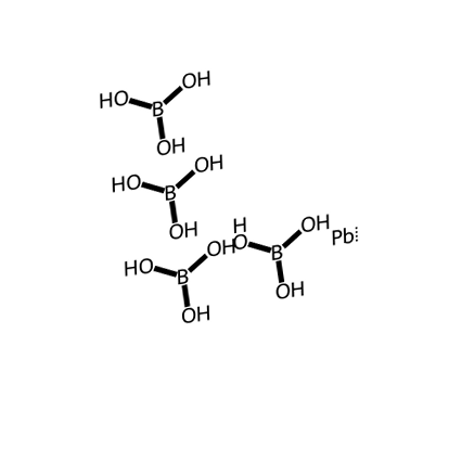 OB(O)O.OB(O)O.OB(O)O.OB(O)O.[Pb]